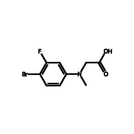 CN(CC(=O)O)c1ccc(Br)c(F)c1